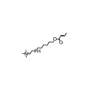 CC=CC(=O)OCCCCCCPCC[N+](C)(C)C